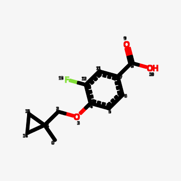 CC1(COc2ccc(C(=O)O)cc2F)CC1